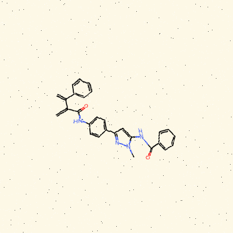 C=C(C(=C)c1ccccc1)C(=O)Nc1ccc(-c2cc(NC(=O)c3ccccc3)n(C)n2)cc1